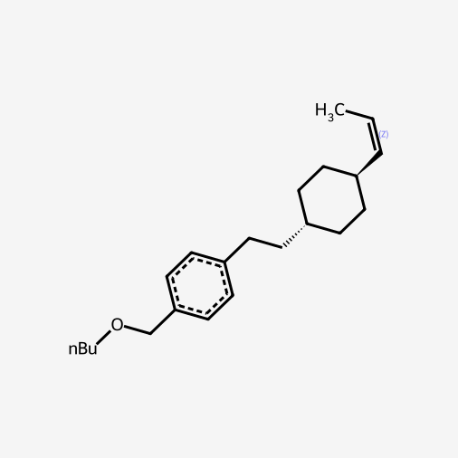 C/C=C\[C@H]1CC[C@H](CCc2ccc(COCCCC)cc2)CC1